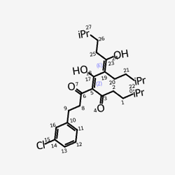 CC(C)CCC(=O)/C(C(=O)CCc1cccc(Cl)c1)=C(O)\C(CCC(C)C)=C(\O)CCC(C)C